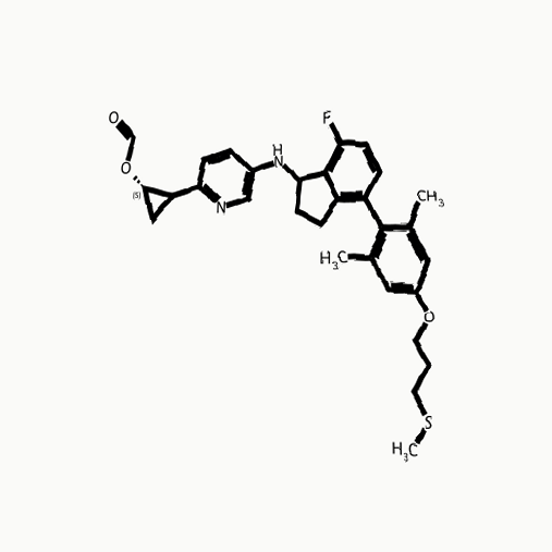 CSCCCOc1cc(C)c(-c2ccc(F)c3c2CCC3Nc2ccc(C3C[C@@H]3OC=O)nc2)c(C)c1